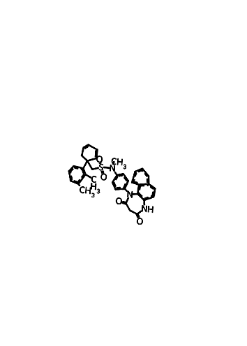 Cc1cccc(C2(CS(=O)(=O)N(C)c3ccc(N4C(=O)CC(=O)Nc5ccc6ccccc6c54)cc3)C=CC=CC2)c1C